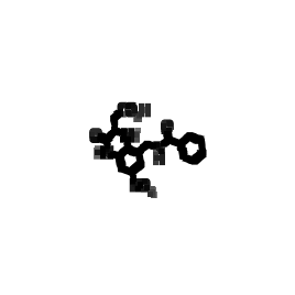 O=C(O)CC1Nc2c(CNC(=O)c3ccccc3)cc([N+](=O)[O-])cc2NC1=O